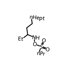 CCCCCCCCCC(CC)NOS(=O)(=O)CCC